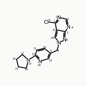 Clc1ncnc2nn(Cc3ccc(N4CCCC4)nc3)cc12